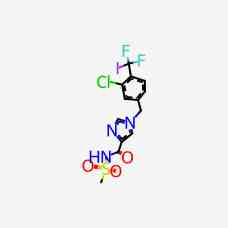 CS(=O)(=O)NC(=O)c1cn(Cc2ccc(C(F)(F)I)c(Cl)c2)cn1